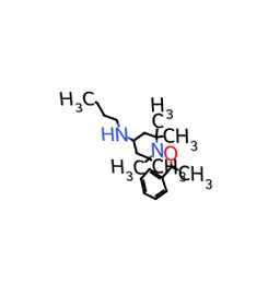 CCCCNC1CC(C)(C)N(OC(C)c2ccccc2)C(C)(C)C1